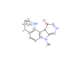 CC(C)N1C2=CN=CC(=O)C2c2c1ccc(CC(=O)O)c2NC=O